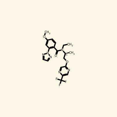 CCN(C(=O)c1ccc(OC)cc1-n1nccn1)[C@@H](C)COc1cnc(C(F)(F)F)cn1